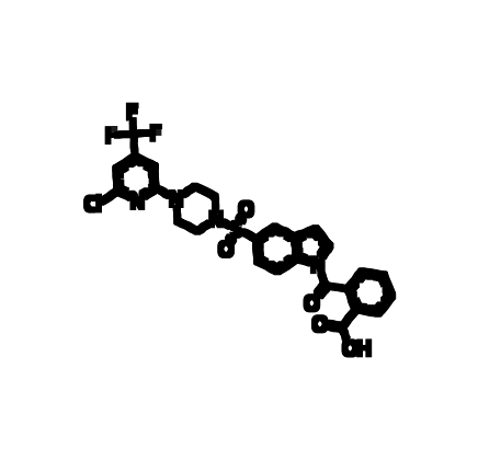 O=C(O)c1ccccc1C(=O)n1ccc2cc(S(=O)(=O)N3CCN(c4cc(C(F)(F)F)cc(Cl)n4)CC3)ccc21